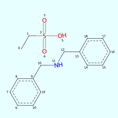 CCS(=O)(=O)O.c1ccc(CNCc2ccccc2)cc1